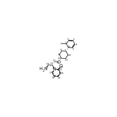 CC1C=CC=CC1[C@H]1CC[C@@H](OC[C@@H](CN)n2ccccc2=O)CC1